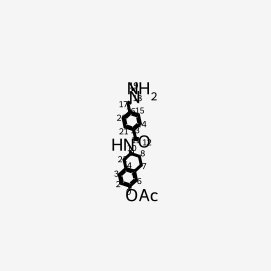 CC(=O)Oc1ccc2c(c1)CCC(NC(=O)c1ccc(C=NN)cc1)C2